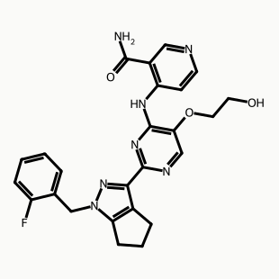 NC(=O)c1cnccc1Nc1nc(-c2nn(Cc3ccccc3F)c3c2CCC3)ncc1OCCO